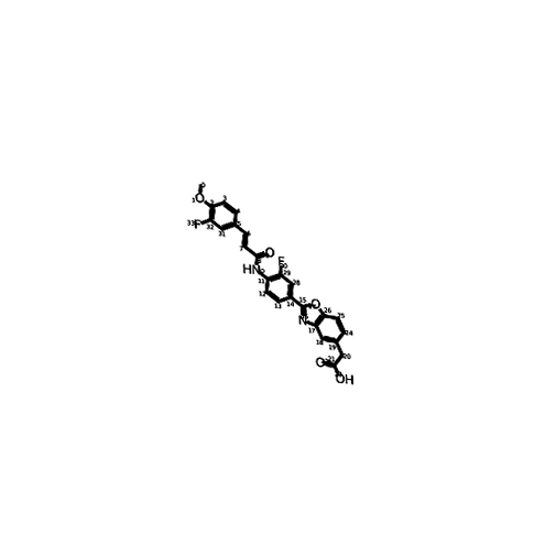 COc1ccc(C=CC(=O)Nc2ccc(-c3nc4cc(CC(=O)O)ccc4o3)cc2F)cc1F